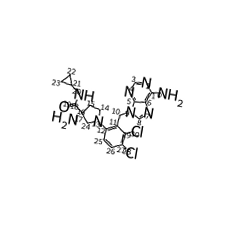 Nc1ncnc2c1ncn2Cc1c(N2CC[C@](N)(C(=O)NC3CC3)C2)ccc(Cl)c1Cl